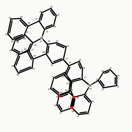 c1ccc(-c2ccccc2N(c2ccccc2)c2ccc(-c3ccc(N(c4ccccc4)c4ccccc4-c4ccccc4)c(-c4ccccc4)c3)cc2-c2ccccc2)cc1